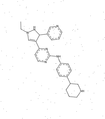 CCN1C=C(c2ccnc(Nc3ccc(C4CCCNC4)cc3)n2)C(c2cccnc2)N1